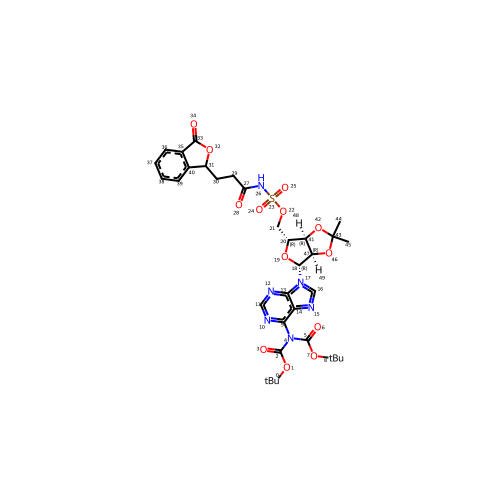 CC(C)(C)OC(=O)N(C(=O)OC(C)(C)C)c1ncnc2c1ncn2[C@@H]1O[C@H](COS(=O)(=O)NC(=O)CCC2OC(=O)c3ccccc32)[C@H]2OC(C)(C)O[C@H]21